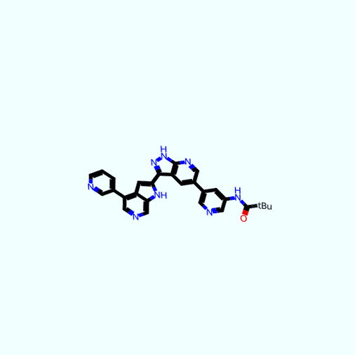 CC(C)(C)C(=O)Nc1cncc(-c2cnc3[nH]nc(-c4cc5c(-c6cccnc6)cncc5[nH]4)c3c2)c1